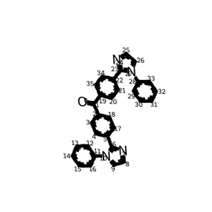 O=C(c1ccc(-c2nccn2-c2ccccc2)cc1)c1ccc(-c2nccn2-c2ccccc2)cc1